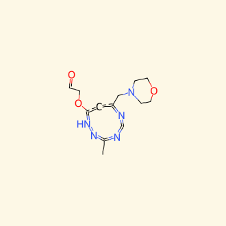 Cc1ncnc(CN2CCOCC2)cc(OCC=O)[nH]n1